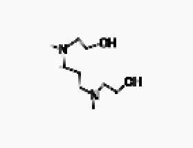 CN([CH]CCN(C)CCO)CCO